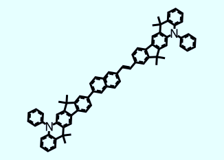 CC1(C)c2cc(/C=C/c3ccc4cc(-c5ccc6c(c5)C(C)(C)c5cc7c(cc5-6)C(C)(C)c5ccccc5N7c5ccccc5)ccc4c3)ccc2-c2cc3c(cc21)N(c1ccccc1)c1ccccc1C3(C)C